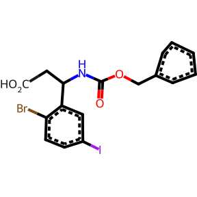 O=C(O)CC(NC(=O)OCc1ccccc1)c1cc(I)ccc1Br